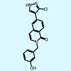 O=c1c2ccc(-c3c[nH]nc3Cl)cc2ccn1Cc1cccc(O)c1